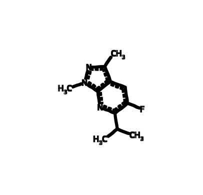 Cc1nn(C)c2nc(C(C)C)c(F)cc12